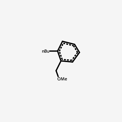 CCCCc1ccccc1COC